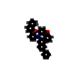 c1ccc(-c2ccc3cc(N(c4cccc5c4oc4c6ccccc6ccc54)c4cccc5oc6ccccc6c45)ccc3c2)cc1